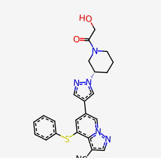 N#Cc1cnn2cc(-c3cnn([C@H]4CCCN(C(=O)CO)C4)c3)cc(Sc3ccccc3)c12